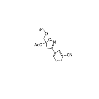 CC(=O)OC1(COC(C)C)CC(c2cccc(C#N)c2)=NO1